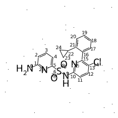 Nc1cccc(S(=O)(=O)Nc2ccc(Cl)c(-c3ccccc3C3CC3)n2)n1